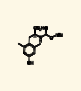 CCCCOC(=O)N[C@@H](Cc1c(C)cc(O)cc1C)C(=O)O